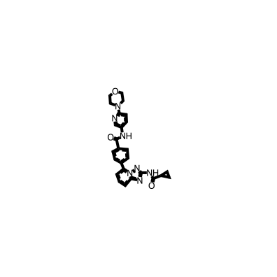 O=C(Nc1ccc(N2CCOCC2)nc1)c1ccc(-c2cccc3nc(NC(=O)C4CC4)nn23)cc1